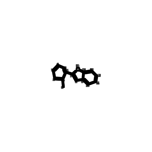 Cc1ccccc1-c1cc2ccccc2o1